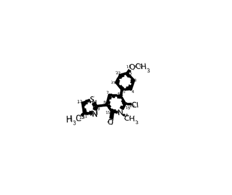 COc1ccc(-c2cc(-c3nc(C)cs3)c(=O)n(C)c2Cl)cc1